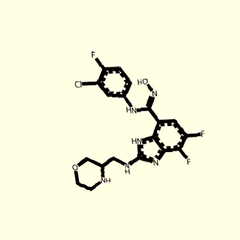 O/N=C(\Nc1ccc(F)c(Cl)c1)c1cc(F)c(F)c2nc(NCC3COCCN3)[nH]c12